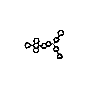 c1ccc(-c2ccc(N(c3ccc(-c4ccccc4)cc3)c3ccc4cc(-c5c6c(c(-c7ccccc7)c7c5CCCC7)CCCC6)ccc4c3)cc2)cc1